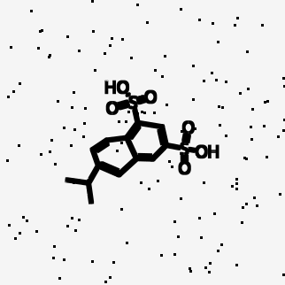 CC(C)c1ccc2c(S(=O)(=O)O)cc(S(=O)(=O)O)cc2c1